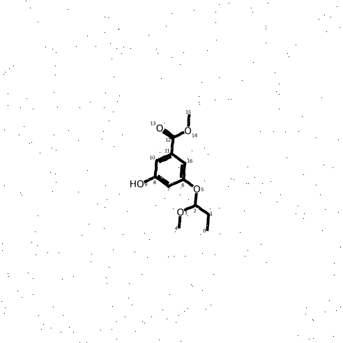 CCC(OC)Oc1cc(O)cc(C(=O)OC)c1